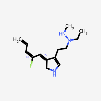 C=C/C=C(F)\C=C1/CNC=C1CCN(CC)NC